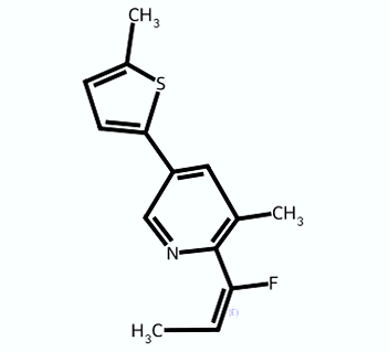 C/C=C(/F)c1ncc(-c2ccc(C)s2)cc1C